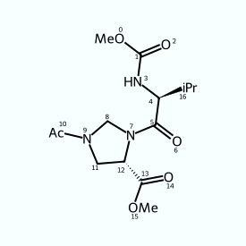 COC(=O)N[C@H](C(=O)N1CN(C(C)=O)C[C@H]1C(=O)OC)C(C)C